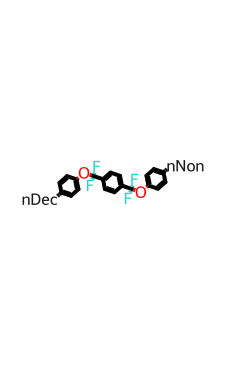 CCCCCCCCCCc1ccc(OC(F)(F)c2ccc(C(F)(F)Oc3ccc(CCCCCCCCC)cc3)cc2)cc1